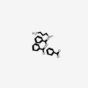 CCC[CH2][Sn+3].O=C([O-])c1ccccc1.O=C([O-])c1ccccc1.O=C([O-])c1ccccc1